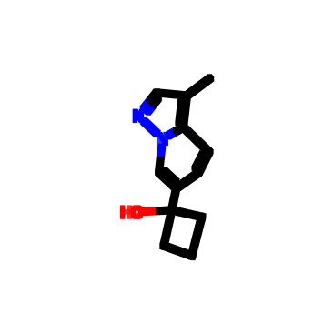 Cc1cnn2cc(C3(O)CCC3)ccc12